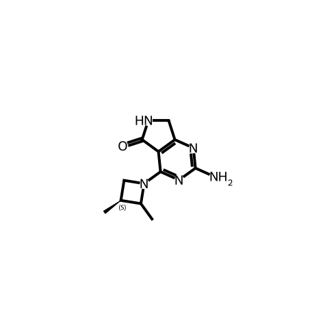 CC1[C@@H](C)CN1c1nc(N)nc2c1C(=O)NC2